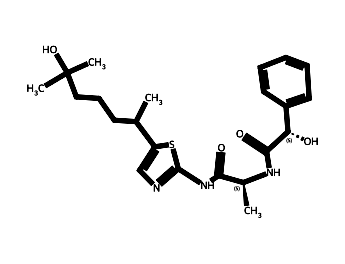 CC(CCCC(C)(C)O)c1cnc(NC(=O)[C@H](C)NC(=O)[C@@H](O)c2ccccc2)s1